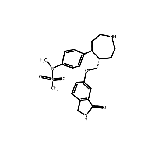 CN(c1ccc([C@H]2CCNCC[C@@H]2COc2ccc3c(c2)C(=O)NC3)cc1)S(C)(=O)=O